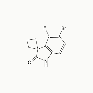 O=C1Nc2ccc(Br)c(F)c2C12CCC2